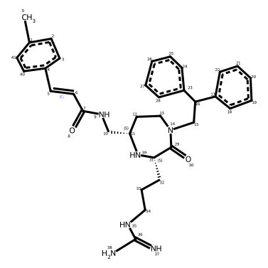 Cc1ccc(/C=C/C(=O)NC[C@@H]2CCN(CC(c3ccccc3)c3ccccc3)C(=O)[C@H](CCCNC(=N)N)N2)cc1